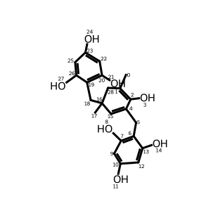 CC1=C(O)C(Cc2c(O)cc(O)cc2O)=CC(C)(Cc2c(O)cc(O)cc2O)C1